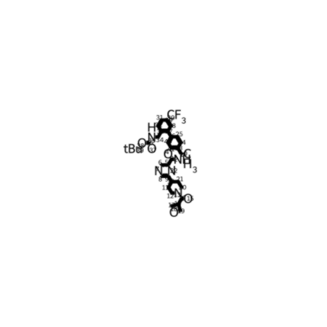 C[C@@H](NC(=O)c1cncc(C2CCN(C(=O)C3COC3)CC2)n1)c1ccc(-c2cc(C(F)(F)F)ccc2CNC(=O)OC(C)(C)C)cc1